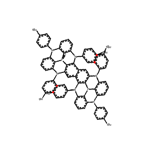 CC(C)(C)c1ccc(N2c3cccc4c3P3c5c2cccc5N(c2ccc(C(C)(C)C)cc2)c2c3c(cc3c5c6c(cc23)N(c2ccc(C(C)(C)C)cc2)c2cccc3c2P6(=S)c2c(cccc2N5c2ccc(C(C)(C)C)cc2)N3c2ccc(C(C)(C)C)cc2)N4c2ccc(C(C)(C)C)cc2)cc1